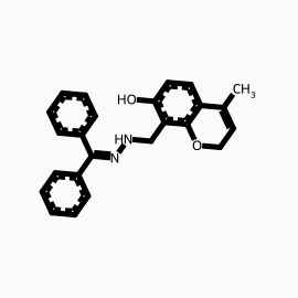 CC1=CCOc2c1ccc(O)c2CNN=C(c1ccccc1)c1ccccc1